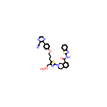 N#Cc1nccnc1-c1ccc(OCCCc2sc(N3CCc4cccc(C(=O)Nc5nc6ccccc6s5)c4C3)nc2COO)cc1